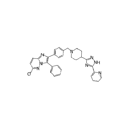 Clc1ccc2nc(-c3ccc(CN4CCC(c5n[nH]c(-c6ccccn6)n5)CC4)cc3)c(-c3ccccc3)n2n1